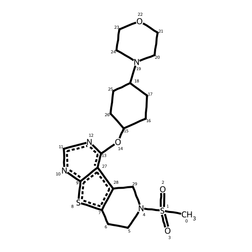 CS(=O)(=O)N1CCc2sc3ncnc(OC4CCC(N5CCOCC5)CC4)c3c2C1